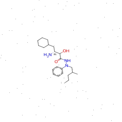 CCCC(C)CN(NC(=O)C(O)[C@H](N)CC1CCCCC1)c1ccccc1